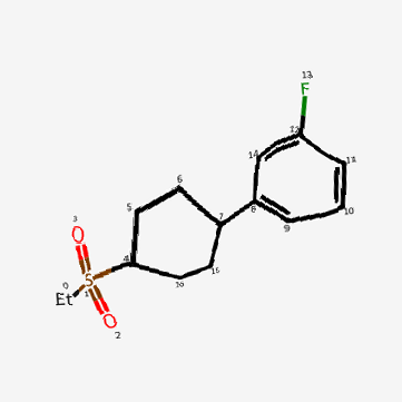 CCS(=O)(=O)C1CCC(c2cccc(F)c2)CC1